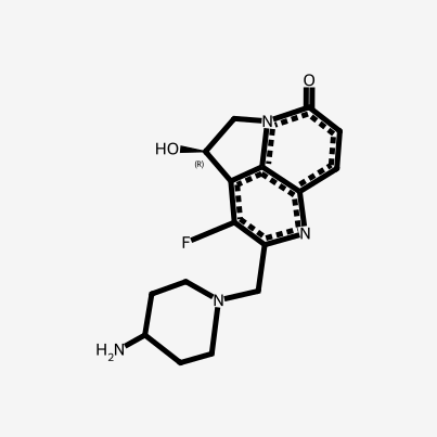 NC1CCN(Cc2nc3ccc(=O)n4c3c(c2F)[C@@H](O)C4)CC1